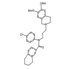 COc1cc2c(cc1OC)CN(CCCN(C(=O)c1ccc3c(c1)CCCC3)c1ccc(Cl)cc1)CC2